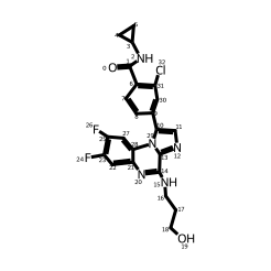 O=C(NC1CC1)c1ccc(-c2cnc3c(NCCCO)nc4cc(F)c(F)cc4n23)cc1Cl